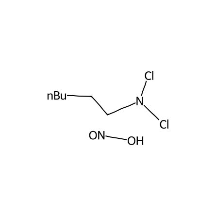 CCCCCCN(Cl)Cl.O=NO